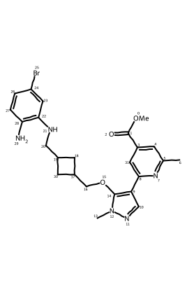 COC(=O)c1cc(C)nc(-c2cnn(C)c2OCC2CC(CNc3cc(Br)ccc3N)C2)c1